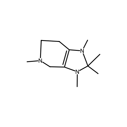 CN1CCC2=C(C1)N(C)C(C)(C)N2C